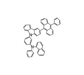 c1ccc(-c2c3ccccc3c(-c3ccc4c(c3)c3ccccc3n4-c3cccc(N(c4ccccc4)c4cccc5ccccc45)c3)c3ccccc23)cc1